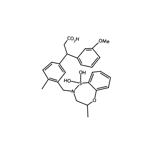 COc1cccc(C(CC(=O)O)c2ccc(C)c(CN3CC(C)Oc4ccccc4S3(O)O)c2)c1